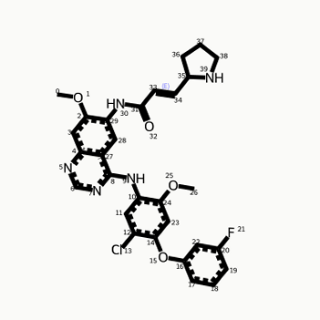 COc1cc2ncnc(Nc3cc(Cl)c(Oc4cccc(F)c4)cc3OC)c2cc1NC(=O)/C=C/C1CCCN1